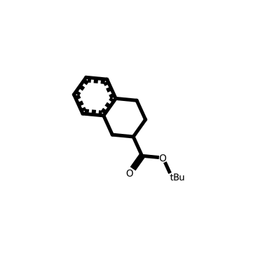 CC(C)(C)OC(=O)C1CCc2ccccc2C1